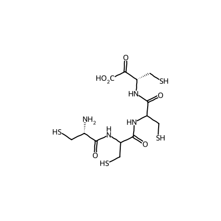 N[C@@H](CS)C(=O)NC(CS)C(=O)NC(CS)C(=O)N[C@@H](CS)C(=O)C(=O)O